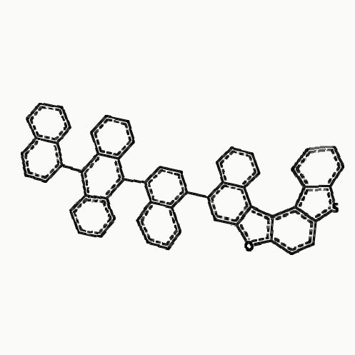 c1ccc2c(-c3c4ccccc4c(-c4ccc(-c5cc6oc7ccc8sc9ccccc9c8c7c6c6ccccc56)c5ccccc45)c4ccccc34)cccc2c1